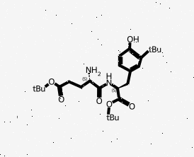 CC(C)(C)OC(=O)CC[C@H](N)C(=O)N[C@@H](Cc1ccc(O)c(C(C)(C)C)c1)C(=O)OC(C)(C)C